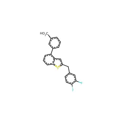 O=C(O)c1cccc(-c2cccc3sc(Cc4ccc(F)c(F)c4)cc23)c1